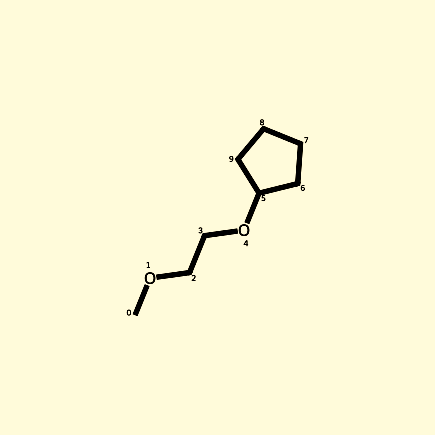 COCCOC1CCCC1